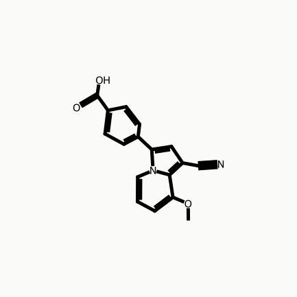 COc1cccn2c(-c3ccc(C(=O)O)cc3)cc(C#N)c12